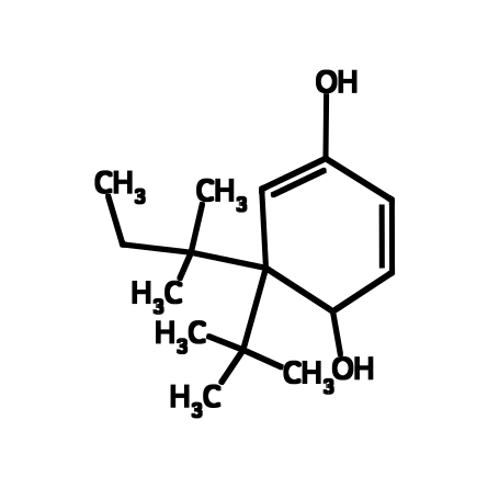 CCC(C)(C)C1(C(C)(C)C)C=C(O)C=CC1O